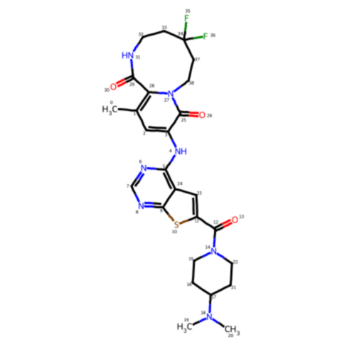 Cc1cc(Nc2ncnc3sc(C(=O)N4CCC(N(C)C)CC4)cc23)c(=O)n2c1C(=O)NCCC(F)(F)CC2